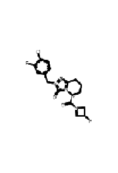 O=C([C@@H]1CCCc2nn(Cc3ccc(Cl)c(F)c3)c(=O)n21)N1CC(F)C1